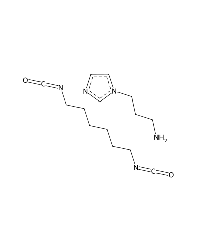 NCCCn1ccnc1.O=C=NCCCCCCN=C=O